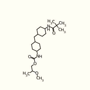 COC(C)COC(=O)NC1CCC(CC2CCC(NC(=O)C(C)(C)C)CC2)CC1